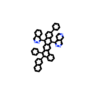 c1ccc(-c2ccc3c(-c4nncc5ccccc45)c4cc5c(-c6ccccc6)c(-c6ccc7ccccc7c6)c6ccccc6c5cc4c(-c4nncc5cnccc45)c3c2)cc1